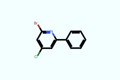 Clc1cc(Br)nc(-c2ccccc2)c1